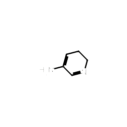 NC1=CCCN=C1